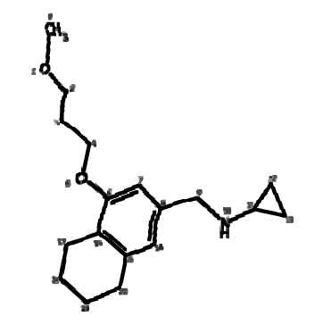 COCCCOc1cc(CNC2CC2)cc2c1CCCC2